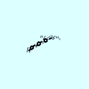 COC(=O)COc1ccc(SCc2ccc(OCc3ccc(C(F)(F)F)cc3)cc2)cc1C